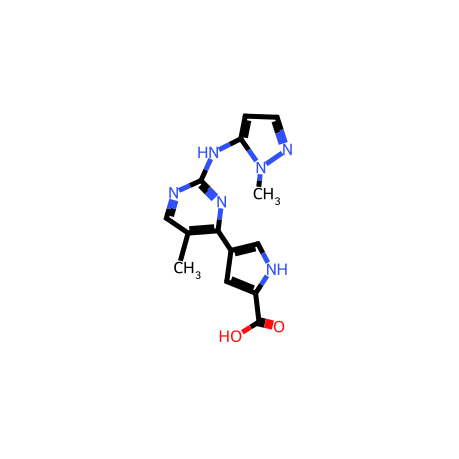 Cc1cnc(Nc2ccnn2C)nc1-c1c[nH]c(C(=O)O)c1